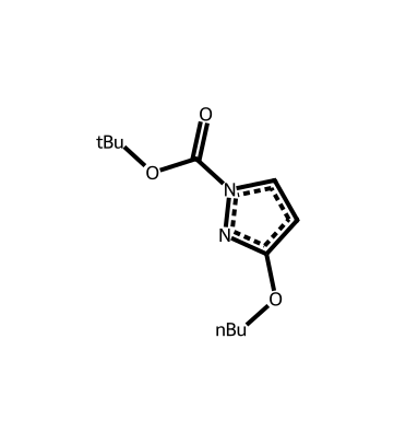 CCCCOc1ccn(C(=O)OC(C)(C)C)n1